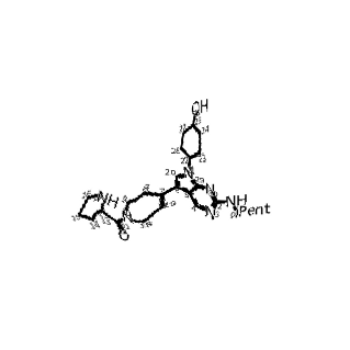 CCCC(C)Nc1ncc2c(C3CCN(C(=O)C4CCCN4)CC3)cn(C3CCC(O)CC3)c2n1